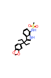 CCC(CC)(c1ccc2c(c1)OCO2)c1c[nH]c2c(NS(C)(=O)=O)cccc12